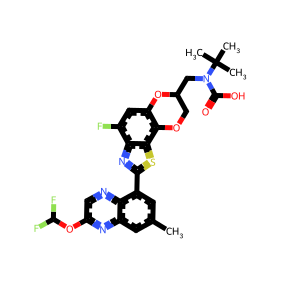 Cc1cc(-c2nc3c(F)cc4c(c3s2)OCC(CN(C(=O)O)C(C)(C)C)O4)c2ncc(OC(F)F)nc2c1